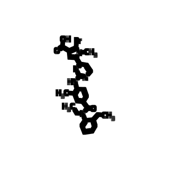 CCc1ccccc1N(CC)C(=O)c1ccc(Nc2nccc(-c3cc(C(=O)O)c(Br)n3C)n2)c(C)c1